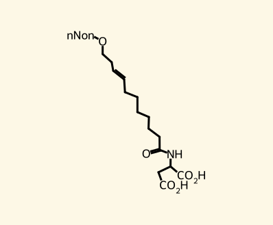 CCCCCCCCCOCCC=CCCCCCCC(=O)NC(CC(=O)O)C(=O)O